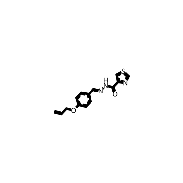 C=CCOc1ccc(C=NNC(=O)c2cscn2)cc1